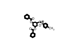 Cc1ccc(S(=O)(=O)OC2CC(OC(=O)c3ccccc3)CC(OC(=O)c3ccccc3)C2)cc1